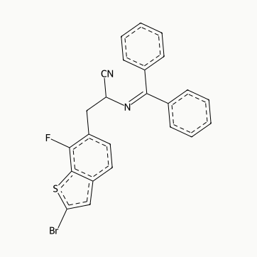 N#CC(Cc1ccc2cc(Br)sc2c1F)N=C(c1ccccc1)c1ccccc1